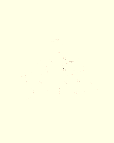 CC1(C)c2ccc(-n3c4ccccc4n4c5ccccc5nc34)cc2N2c3cc(-n4c5ccccc5n5c6ccccc6nc45)ccc3C(C)(C)c3cccc1c32